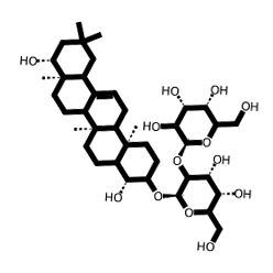 CC1(C)CC2C3=CCC4[C@@](C)(CCC5[C@@H](O)C(O[C@@H]6OC(CO)[C@@H](O)[C@@H](O)C6O[C@@H]6OC(CO)[C@@H](O)[C@@H](O)C6O)CC[C@@]54C)C3CC[C@@]2(C)[C@H](O)C1